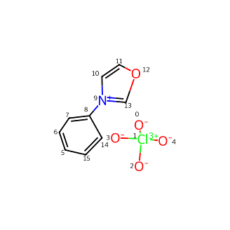 [O-][Cl+3]([O-])([O-])[O-].c1ccc(-[n+]2ccoc2)cc1